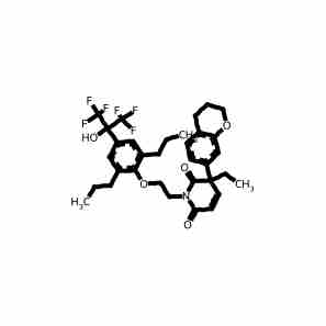 CCCc1cc(C(O)(C(F)(F)F)C(F)(F)F)cc(CCC)c1OCCN1C(=O)C=CC(CC)(c2ccc3c(c2)OCCC3)C1=O